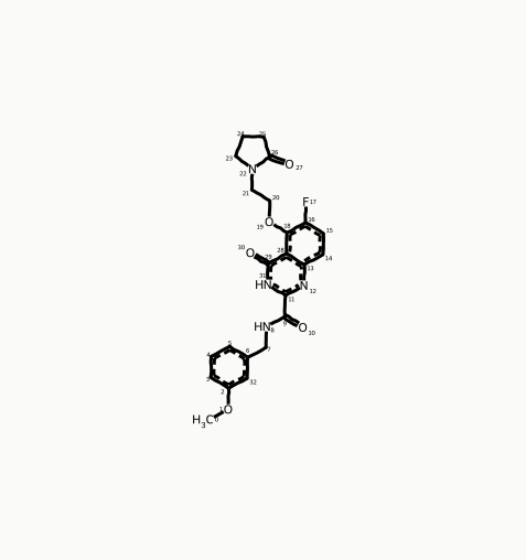 COc1cccc(CNC(=O)c2nc3ccc(F)c(OCCN4CCCC4=O)c3c(=O)[nH]2)c1